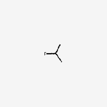 CC(C)F